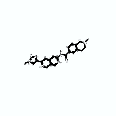 CN1CCc2cc(C(=O)Nc3cc4cc(-c5cn(C)nn5)ncc4cn3)ccc2C1